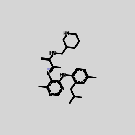 C=C(NCC1CCCNC1)/C(C)=N/c1c(C)ncnc1Nc1ccc(C)cc1CC(C)C